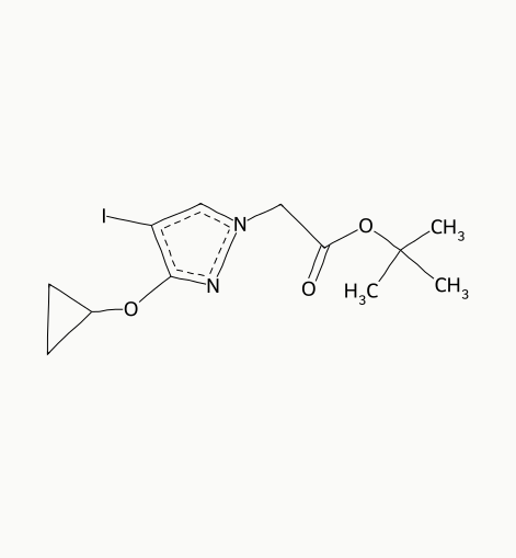 CC(C)(C)OC(=O)Cn1cc(I)c(OC2CC2)n1